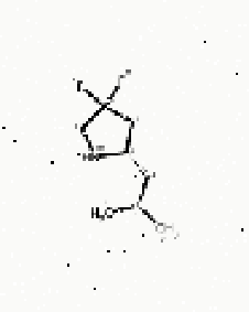 CN(C)C[C@H]1CC(F)(F)CN1